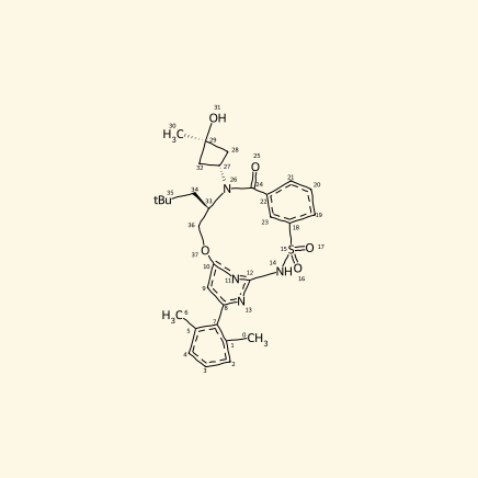 Cc1cccc(C)c1-c1cc2nc(n1)NS(=O)(=O)c1cccc(c1)C(=O)N([C@H]1C[C@](C)(O)C1)[C@H](CC(C)(C)C)CO2